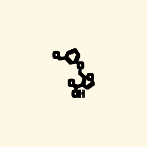 O=Cc1cccc(OCc2occc2C(=O)O)c1